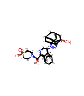 O=C(c1ncc(NC23CC4CC(CC(O)(C4)C2)C3)c2c1C1CCC2CC1)N1CCS(=O)(=O)CC1